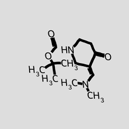 CC(C)(C)OC=O.CN(C)C=C1CNCCC1=O